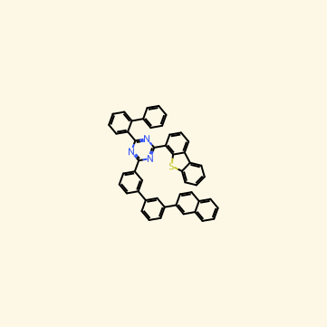 c1ccc(-c2ccccc2-c2nc(-c3cccc(-c4cccc(-c5ccc6ccccc6c5)c4)c3)nc(-c3cccc4c3sc3ccccc34)n2)cc1